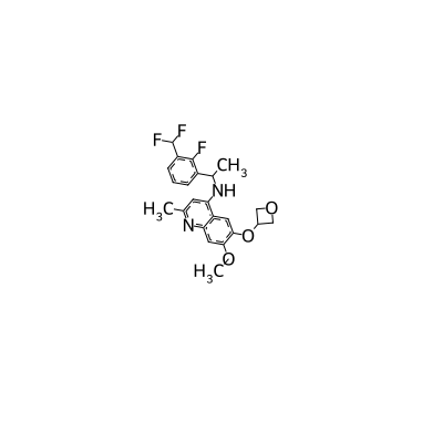 COc1cc2nc(C)cc(NC(C)c3cccc(C(F)F)c3F)c2cc1OC1COC1